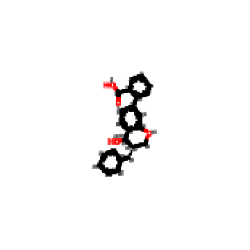 O=C(O)c1ccccc1-c1ccc2c(c1)OC[C@H](Cc1ccccc1)[C@H]2O